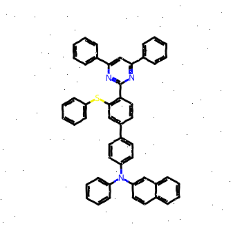 c1ccc(Sc2cc(-c3ccc(N(c4ccccc4)c4ccc5ccccc5c4)cc3)ccc2-c2nc(-c3ccccc3)cc(-c3ccccc3)n2)cc1